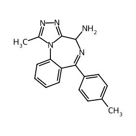 Cc1ccc(C2=NC(N)c3nnc(C)n3-c3ccccc32)cc1